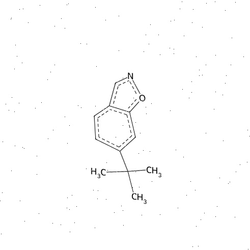 CC(C)(C)c1ccc2cnoc2c1